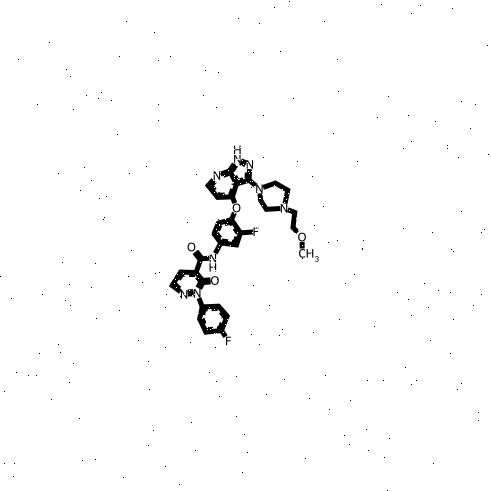 COCCN1CCN(c2n[nH]c3nccc(Oc4ccc(NC(=O)c5ccnn(-c6ccc(F)cc6)c5=O)cc4F)c23)CC1